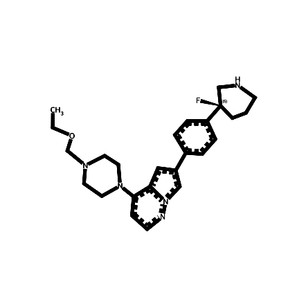 CCOCN1CCN(c2ccnn3cc(-c4ccc([C@@]5(F)CCCNC5)cc4)cc23)CC1